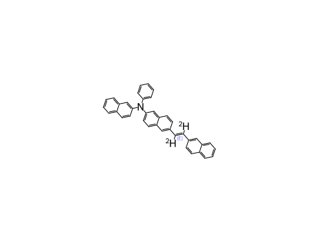 [2H]/C(=C(/[2H])c1ccc2cc(N(c3ccccc3)c3ccc4ccccc4c3)ccc2c1)c1ccc2ccccc2c1